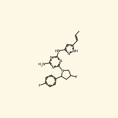 C/C=C/c1cc(Nc2nc(N)nc(N3CC(F)CC3c3ccc(F)cc3)n2)n[nH]1